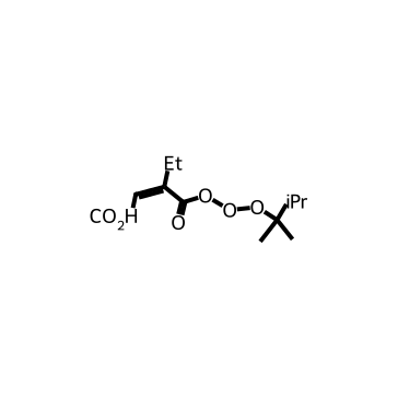 CCC(=CC(=O)O)C(=O)OOOC(C)(C)C(C)C